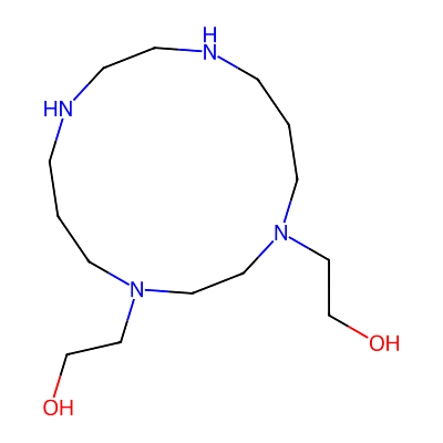 OCCN1CCCNCCNCCCN(CCO)CC1